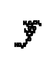 C=C(C)C(=O)Oc1c(I)cc(OCCS(=O)(=O)O)cc1I